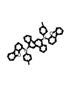 Cc1ccc(N(c2cc3c4ccccc4c(N(c4ccc(C)cc4)c4cccc5c4oc4ccccc45)cc3c3ccccc23)c2cccc3c2oc2ccccc23)cc1